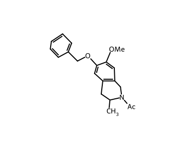 COc1cc2c(cc1OCc1ccccc1)CC(C)N(C(C)=O)C2